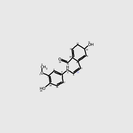 COc1cc(N/C=C\C2=CC(O)CC=C2C=O)ccc1O